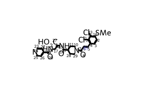 CSc1ccc(/C=C/C(=O)N2CCC(C(=O)N[C@@H](CNC(=O)c3ccncc3)C(=O)O)CC2)c(Cl)c1Cl